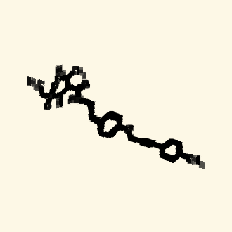 CCS(=O)(=O)NC(C(=O)NCCc1ccc(OCC#Cc2ccc(C)cc2)cc1)C(C)C